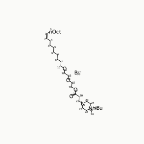 CCCCCCCC/C=C\CCCCCCCCOCCOCCOC(=O)CCN1CC[N+](C)(CCCC)CC1.[Br-]